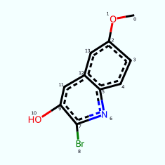 COc1ccc2nc(Br)c(O)cc2c1